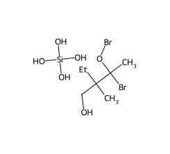 CCC(C)(CO)C(C)(Br)OBr.O[Si](O)(O)O